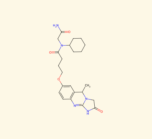 CC1c2cc(OCCCC(=O)N(CC(N)=O)C3CCCCC3)ccc2N=C2NC(=O)CN21